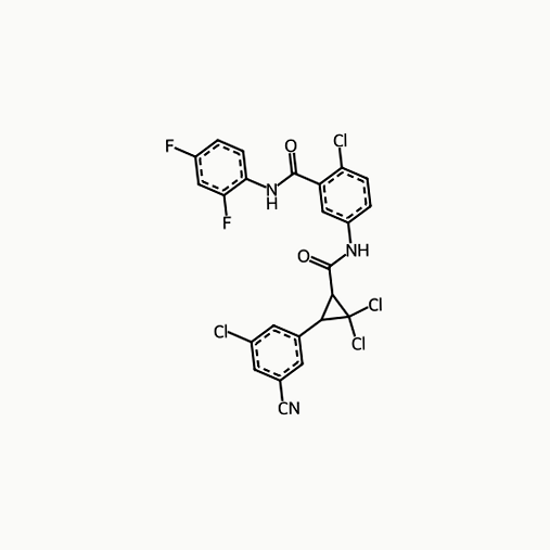 N#Cc1cc(Cl)cc(C2C(C(=O)Nc3ccc(Cl)c(C(=O)Nc4ccc(F)cc4F)c3)C2(Cl)Cl)c1